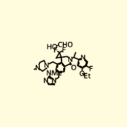 CCOc1cc(C(C)N2CC3(CC3(F)F)c3c(CN4CCN(C)CC4)cc(Cn4ccnc4NC)cc3C2=O)ncc1F.O=CO